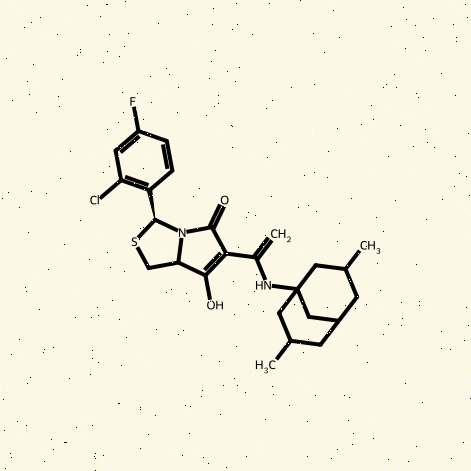 C=C(NC12CC(C)CC(CC(C)C1)C2)C1=C(O)C2CS[C@@H](c3ccc(F)cc3Cl)N2C1=O